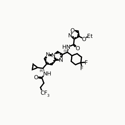 CCOc1conc1C(=O)N[C@H](c1cn2ncc([C@H](NC(=O)CCC(F)(F)F)C3CC3)cc2n1)C1CCC(F)(F)CC1